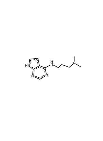 CN(C)CCCNc1ncnc2[nH]ccc12